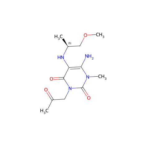 COC[C@H](C)Nc1c(N)n(C)c(=O)n(CC(C)=O)c1=O